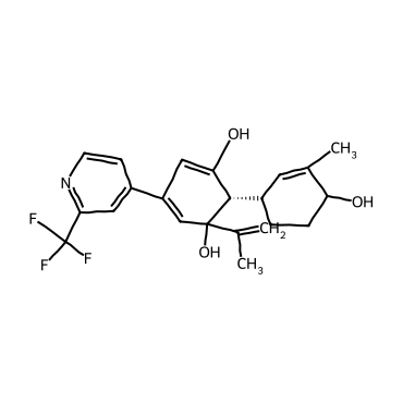 C=C(C)C1(O)C=C(c2ccnc(C(F)(F)F)c2)C=C(O)[C@@H]1C1C=C(C)C(O)CC1